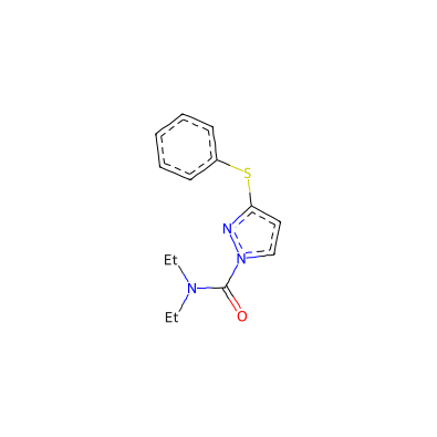 CCN(CC)C(=O)n1ccc(Sc2ccccc2)n1